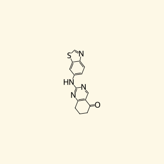 O=C1CCCc2nc(Nc3ccc4ncsc4c3)ncc21